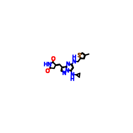 Cc1csc(CNc2cc(NC3CC3)n3ncc(C=C4CC(=O)NC4=O)c3n2)c1